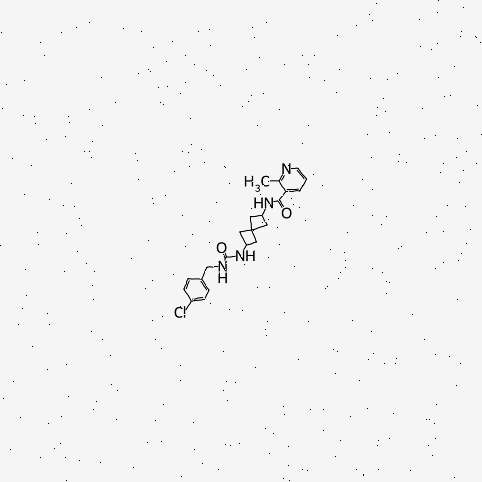 Cc1ncccc1C(=O)NC1CC2(CC(NC(=O)NCc3ccc(Cl)cc3)C2)C1